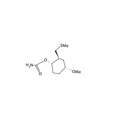 CO[C@@H]1CC[C@H](OC(N)=O)[C@@H](CSC)C1